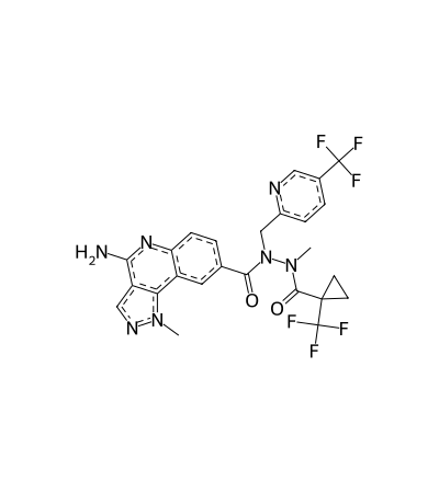 CN(C(=O)C1(C(F)(F)F)CC1)N(Cc1ccc(C(F)(F)F)cn1)C(=O)c1ccc2nc(N)c3cnn(C)c3c2c1